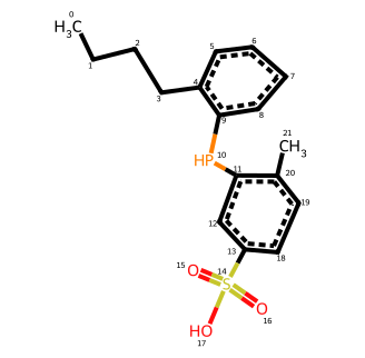 CCCCc1ccccc1Pc1cc(S(=O)(=O)O)ccc1C